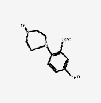 CCN1CCN(c2ccc(C=O)cc2OC)CC1